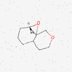 C1CC2CCOCC23O[C@H]3C1